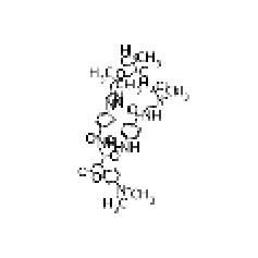 CCN(CC)CCNC(=O)c1ccc(NC(=O)OC(CNC(=O)c2ccc(-n3cc(CC(C)(C)OCC(C)C(C)C)nn3)cc2)c2cc(=O)oc3cc(N(CC)CC)ccc23)cc1